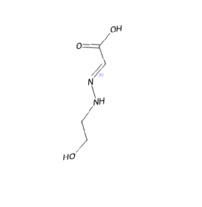 O=C(O)/C=N/NCCO